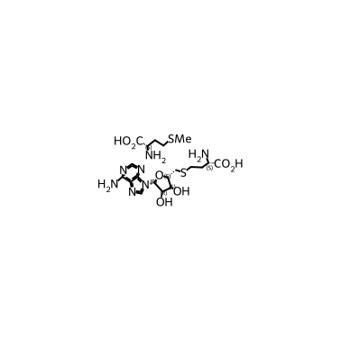 CSCC[C@H](N)C(=O)O.Nc1ncnc2c1ncn2[C@@H]1O[C@H](CSCC[C@H](N)C(=O)O)[C@@H](O)[C@H]1O